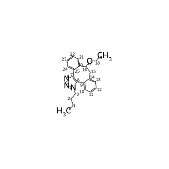 CCCCn1nnc2c1-c1ccccc1CC(OCC)c1ccccc1-2